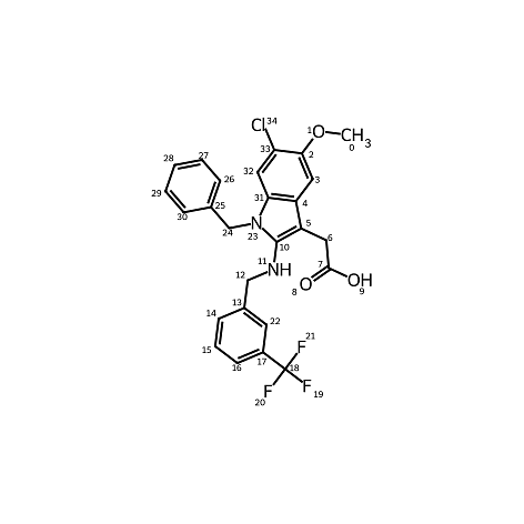 COc1cc2c(CC(=O)O)c(NCc3cccc(C(F)(F)F)c3)n(Cc3ccccc3)c2cc1Cl